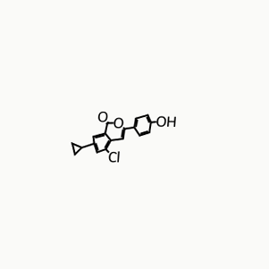 O=c1oc(-c2ccc(O)cc2)cc2c(Cl)cc(C3CC3)cc12